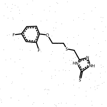 Fc1ccc(OCCSCc2n[nH]c(=S)[nH]2)c(F)c1